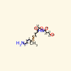 CC(/C=C\C=C/N)SSCCCC1OCC1ONC(=O)CCC=O